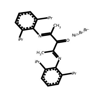 CC(=Nc1c(C(C)C)cccc1C(C)C)C(=O)C(C)=Nc1c(C(C)C)cccc1C(C)C.[Br-].[Br-].[Ni+2]